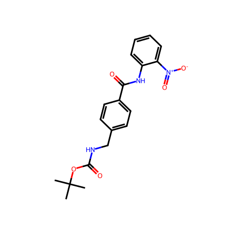 CC(C)(C)OC(=O)NCc1ccc(C(=O)Nc2ccccc2[N+](=O)[O-])cc1